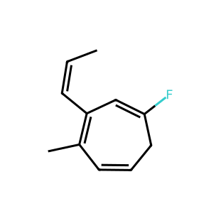 C/C=C\C1=C(C)C=CCC(F)=C1